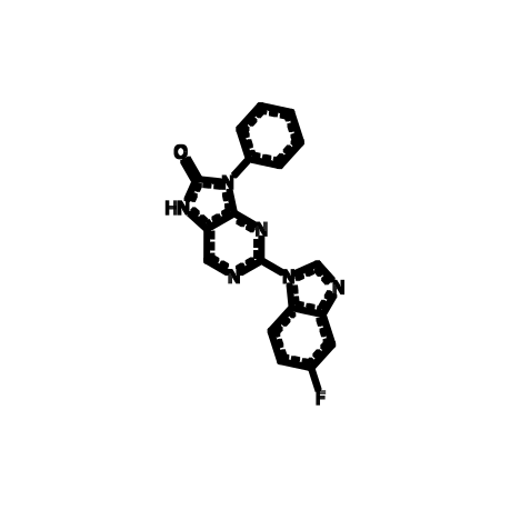 O=c1[nH]c2cnc(-n3cnc4cc(F)ccc43)nc2n1-c1ccccc1